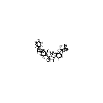 O=C(O)NC(Cc1cccc(OC(F)(F)C(F)F)c1)C(O)c1ccc(Oc2ccccn2)cc1